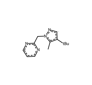 Cc1c(C(C)(C)C)[c]nn1Cc1ncccn1